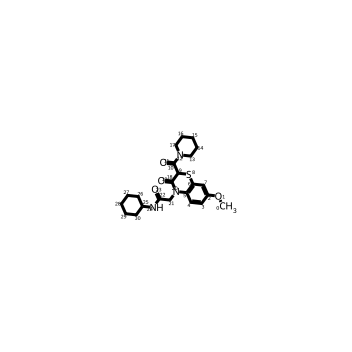 COc1ccc2c(c1)SC(C(=O)N1CCCCC1)C(=O)N2CC(=O)NC1CCCCC1